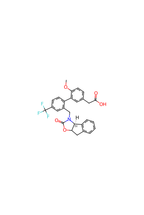 COc1ccc(CC(=O)O)cc1-c1ccc(C(F)(F)F)cc1CN1C(=O)OC2Cc3ccccc3[C@@H]21